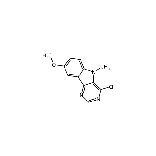 COc1ccc2c(c1)c1ncnc(Cl)c1n2C